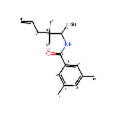 C=CCC(C)(C)C(CCCC)NC(=O)c1cc(C)cc(C)c1